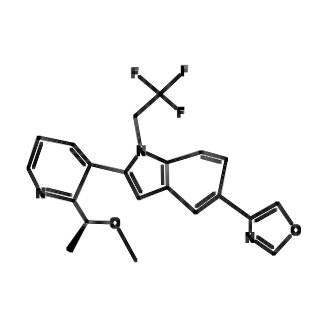 CO[C@@H](C)c1ncccc1-c1cc2cc(-c3cocn3)ccc2n1CC(F)(F)F